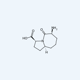 N[C@H]1CCC[C@H]2CC[C@@H](C(=O)O)N2C1=O